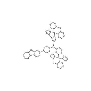 c1ccc2c(c1)Oc1ccccc1C21c2ccccc2-c2cc(N(c3ccc(-c4ccc5c(c4)oc4ccccc45)cc3)c3ccc4c(c3)C3(c5ccccc5Sc5ccccc53)c3ccccc3-4)ccc21